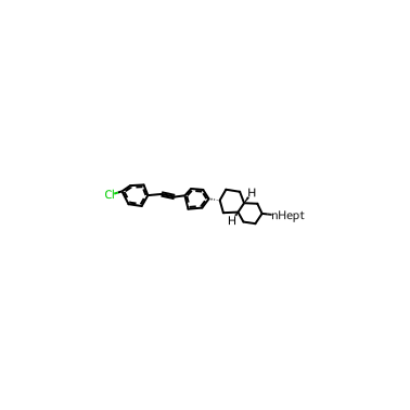 CCCCCCCC1CC[C@@H]2C[C@H](c3ccc(C#Cc4ccc(Cl)cc4)cc3)CC[C@@H]2C1